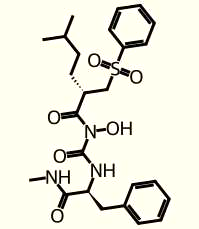 CNC(=O)[C@H](Cc1ccccc1)NC(=O)N(O)C(=O)[C@H](CCC(C)C)CS(=O)(=O)c1ccccc1